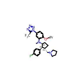 CC(C)Oc1ccc(-n2nnnc2C(F)(F)F)cc1N(C)[C@H]1CC[C@H](CN2CCCC2)[C@H]1c1ccc(F)cc1